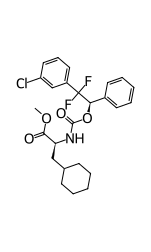 COC(=O)[C@H](CC1CCCCC1)NC(=O)O[C@H](c1ccccc1)C(F)(F)c1cccc(Cl)c1